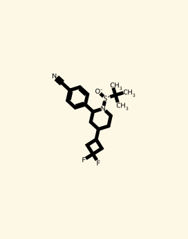 CC(C)(C)[S+]([O-])N1CCC(C2CC(F)(F)C2)CC1c1ccc(C#N)cc1